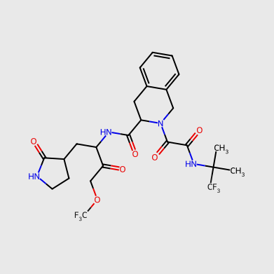 CC(C)(NC(=O)C(=O)N1Cc2ccccc2CC1C(=O)NC(CC1CCNC1=O)C(=O)COC(F)(F)F)C(F)(F)F